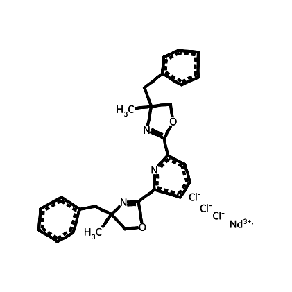 CC1(Cc2ccccc2)COC(c2cccc(C3=NC(C)(Cc4ccccc4)CO3)n2)=N1.[Cl-].[Cl-].[Cl-].[Nd+3]